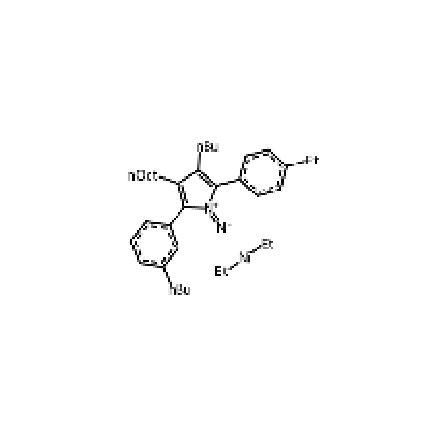 CCCCCCCCC1=C(c2cccc(CCCC)c2)[N+](=[N-])C(c2ccc(CC)cc2)=C1CCCC.C[CH2][Ni][CH2]C